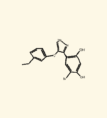 CCc1cccc(Oc2c[nH]nc2-c2cc(Br)c(O)cc2O)c1